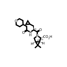 CC1(C)[C@@H]2[C@@H](C(=O)O)N(C(=O)[C@H](CC3CC3)NC(=O)CC3CCOCC3)C[C@@H]21